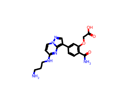 NCCCNc1ccn2ncc(-c3ccc(C(N)=O)c(OCC(=O)O)c3)c2n1